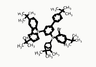 CC1C2CC(CC2N(c2cc(-c3ccc(C(C)(C)C)cc3)cc(-n3c4ccc(C(C)(C)C)cc4c4cc(C(C)(C)C)ccc43)c2)c2ccc(C(C)(C)C)cc2Br)C1(C)C